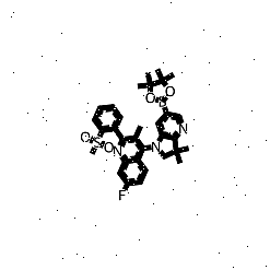 Cc1c(-c2ccccc2S(C)(=O)=O)nc2cc(F)ccc2c1N1CC(C)(C)c2ncc(B3OC(C)(C)C(C)(C)O3)cc21